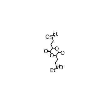 CC[S+]([O-])CCC1OC(=O)C(CC[S+]([O-])CC)OC1=O